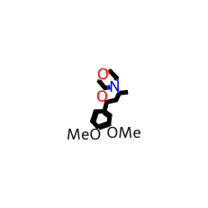 COc1ccc(C(=O)CC(C)N2CCOCC2)cc1OC